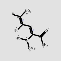 CCC(/C=C(/C(N)=O)N(O)OC)=C(\C)[N+](=O)[O-]